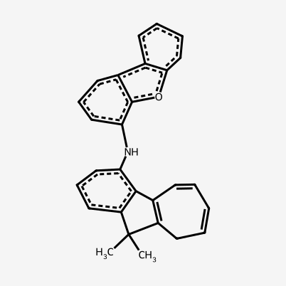 CC1(C)C2=C(C=CC=CC2)c2c(Nc3cccc4c3oc3ccccc34)cccc21